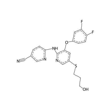 N#Cc1ccc(Nc2ncc(SCCCO)cc2Oc2ccc(F)c(F)c2)nc1